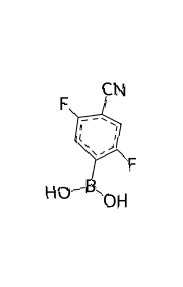 N#Cc1cc(F)c(B(O)O)cc1F